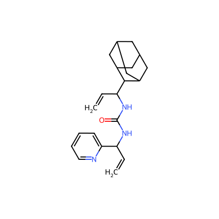 C=CC(NC(=O)NC(C=C)C1C2CC3CC(C2)CC1C3)c1ccccn1